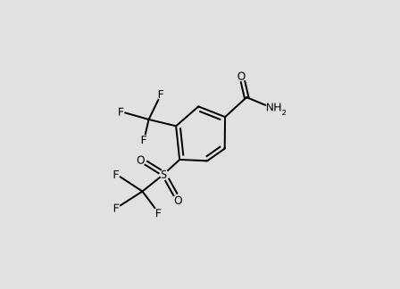 NC(=O)c1ccc(S(=O)(=O)C(F)(F)F)c(C(F)(F)F)c1